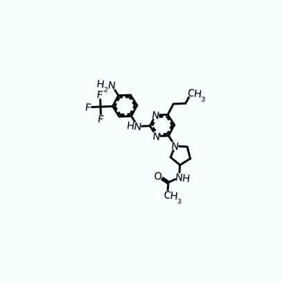 CCCc1cc(N2CCC(NC(C)=O)C2)nc(Nc2ccc(N)c(C(F)(F)F)c2)n1